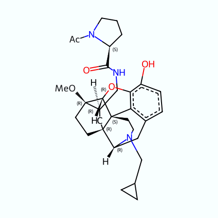 CO[C@]12CC[C@]3(C[C@@H]1CNC(=O)[C@@H]1CCCN1C(C)=O)[C@H]1Cc4ccc(O)c5c4[C@@]3(CCN1CC1CC1)[C@H]2O5